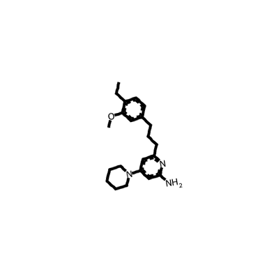 CCc1ccc(CCCc2cc(N3CCCCC3)cc(N)n2)cc1OC